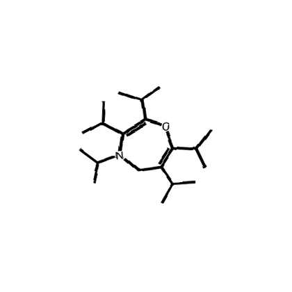 CC(C)C1=C(C(C)C)OC(C(C)C)=C(C(C)C)N(C(C)C)C1